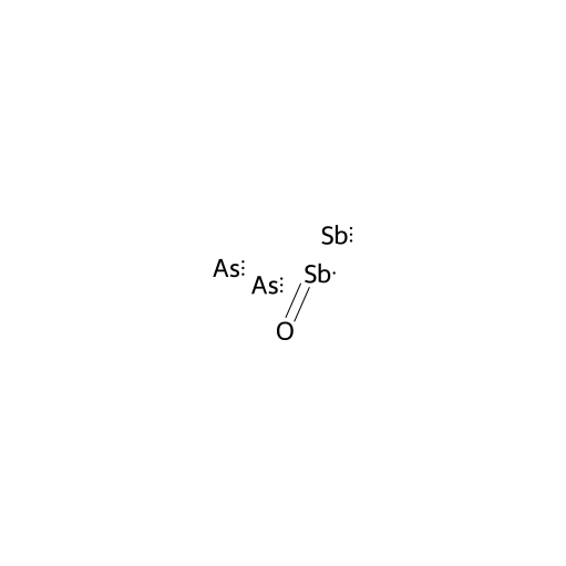 [As].[As].[O]=[Sb].[Sb]